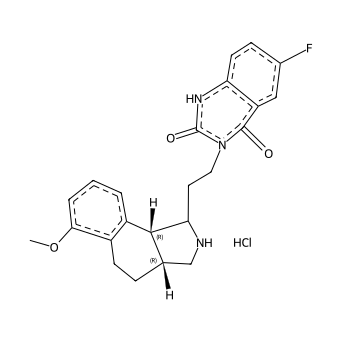 COc1cccc2c1CC[C@H]1CNC(CCn3c(=O)[nH]c4ccc(F)cc4c3=O)[C@@H]21.Cl